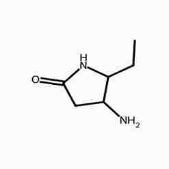 CCC1NC(=O)CC1N